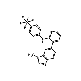 Cn1cnc2ccc(-c3cccnc3Nc3ccc(S(F)(F)(F)(F)F)cc3)cc21